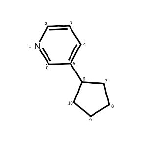 [c]1ncccc1C1CCCC1